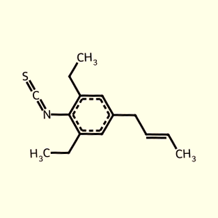 C/C=C/Cc1cc(CC)c(N=C=S)c(CC)c1